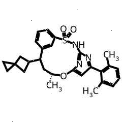 Cc1cccc(C)c1-c1cc2nc(n1)NS(=O)(=O)c1cccc(c1)C(C1CC3(CC3)C1)C[C@@H](C)O2